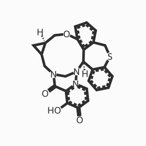 O=C1c2c(O)c(=O)ccn2N2CN1CC1C[C@H]1COc1cccc3c1[C@H]2c1ccccc1SC3